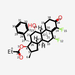 CCC(=O)O[C@@H]1[C@H](C)C[C@H]2[C@@H]3C[C@H](F)C4=C(F)C(=O)CC[C@]4(C)[C@H]3[C@@H](O)C[C@]12Cc1ccccc1